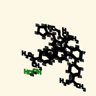 CC[CH2][Zr]([CH3])(=[SiH2])([CH]1C(CC2CCCC2)=Cc2c(-c3ccc(C(C)C)cc3)cccc21)[CH]1C(CC2CCCC2)=Cc2c(-c3ccc(C(C)C)cc3)cccc21.Cl.Cl